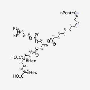 CCCCC/C=C\C/C=C\CCCCCCCC(=O)OCC(COC(=O)CCCC(CCCCCC)(CCCC(CCCCCC)C(=O)O)C(=O)O)COC(=O)OCCCN(CC)CC